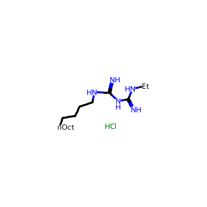 CCCCCCCCCCCCNC(=N)NC(=N)NCC.Cl